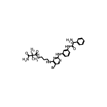 CC(C)(C(N)=O)C(=O)NCCCNc1nc(Nc2cccc(NC(=O)[C@@H](N)c3ccccc3)c2)ncc1Br